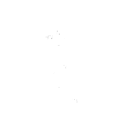 C/C=C/c1n[nH]c2ccc(NC(=O)c3ncc(C#N)c(C)c3C)cc12